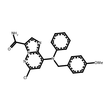 COc1ccc(CN(c2ccccc2)c2cc(Cl)nn3c(C(N)=O)cnc23)cc1